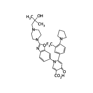 CC(C)(O)CN1CCN(c2nc3ccc(-n4cc(C(=O)O)c(=O)cc4-c4ccc(N5CCCC5)c(C(F)(F)F)c4)cc3o2)CC1